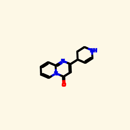 O=c1cc(C2C=CNCC2)nc2ccccn12